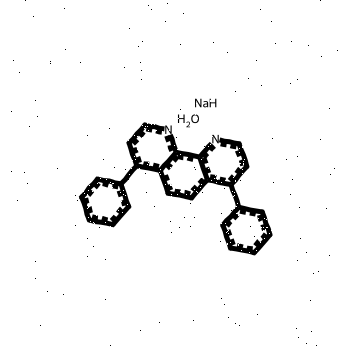 O.[NaH].c1ccc(-c2ccnc3c2ccc2c(-c4ccccc4)ccnc23)cc1